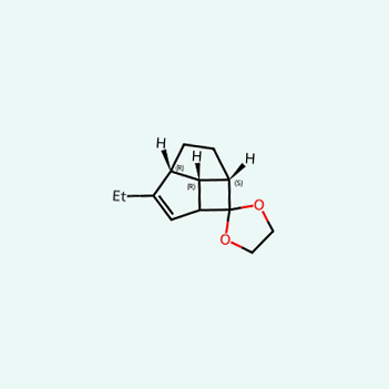 CCC1=CC2[C@@H]3[C@H]1CC[C@@H]3C21OCCO1